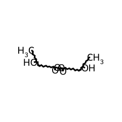 CCCCCCC(O)C/C=C\CCCCCCCC(=O)OCOC(=O)CCCCCCC/C=C\CC(O)CCCCCC